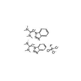 CN(C)C(=[O+]n1nnc2ccccc21)N(C)C.CN(C)C(=[O+]n1nnc2ccccc21)N(C)C.O=P([O-])([O-])F